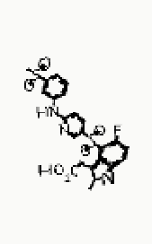 CC1N=c2ccc(F)c(S(=O)(=O)c3ccc(Nc4cccc(S(C)(=O)=O)c4)nc3)c2=C1CC(=O)O